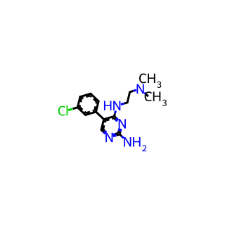 CN(C)CCNc1nc(N)ncc1-c1cccc(Cl)c1